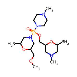 BC1CN(C)CC(COP(=O)(N2CCN(C)CC2)N2CC(B)OC(COC)C2)O1